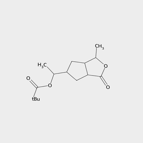 CC(OC(=O)C(C)(C)C)C1CC2C(=O)OC(C)C2C1